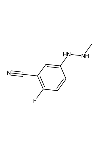 CNNc1ccc(F)c(C#N)c1